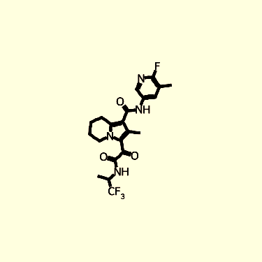 Cc1cc(NC(=O)c2c(C)c(C(=O)C(=O)NC(C)C(F)(F)F)n3c2CCCC3)cnc1F